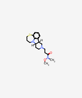 CON(C)C(=O)CCN1CC[C@H]2[C@@H](C1)c1cccc3c1N2CCCS3